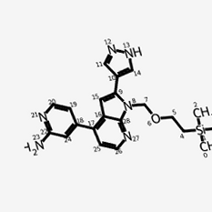 C[Si](C)(C)CCOCn1c(-c2cn[nH]c2)cc2c(-c3ccnc(N)c3)ccnc21